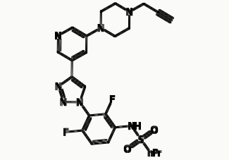 C#CCN1CCN(c2cncc(-c3cn(-c4c(F)ccc(NS(=O)(=O)CCC)c4F)nn3)c2)CC1